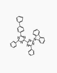 c1ccc(-c2ccc(-c3nc(-c4ccccc4)nc(-c4nc(-c5ccccc5)nc(-n5c6ccccc6c6ccccc65)n4)n3)cc2)cc1